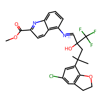 COC(=O)c1ccc2c(/N=C/C(O)(CC(C)(C)c3cc(Cl)cc4c3OCC4)C(F)(F)F)cccc2n1